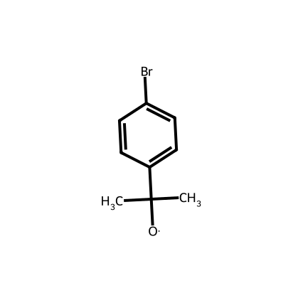 CC(C)([O])c1ccc(Br)cc1